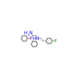 NC(CNCCc1ccc(F)cc1)P(c1ccccc1)c1ccccc1